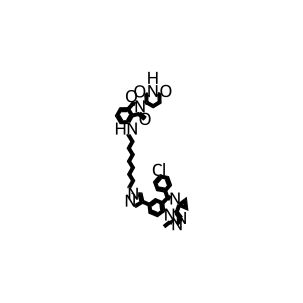 Cc1nnc2n1-c1ccc(-c3cnn(CCCCCCCCCNc4cccc5c4C(=O)N(C4CCC(=O)NC4=O)C5=O)c3)cc1C(c1ccc(Cl)cc1)=NC21CC1